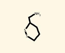 NCC1CCCSS1